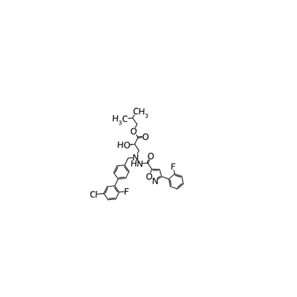 CC(C)COC(=O)[C@H](O)CN(Cc1ccc(-c2cc(Cl)ccc2F)cc1)NC(=O)c1cc(-c2ccccc2F)no1